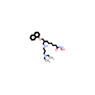 CCN(CC)CCCNC/C(=C\CCCCC(=O)NO)COc1cccc2ccccc12